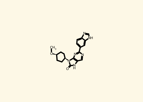 CO[C@H]1CC[C@@H](n2c(=O)[nH]c3cnc(-c4ccc5nc[nH]c5c4)nc32)CC1